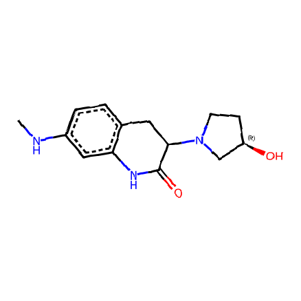 CNc1ccc2c(c1)NC(=O)C(N1CC[C@@H](O)C1)C2